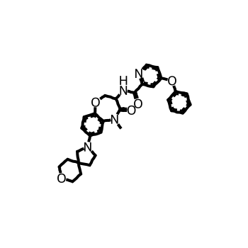 CN1C(=O)C(NC(=O)c2cc(Oc3ccccc3)ccn2)COc2ccc(N3CCC4(CCOCC4)C3)cc21